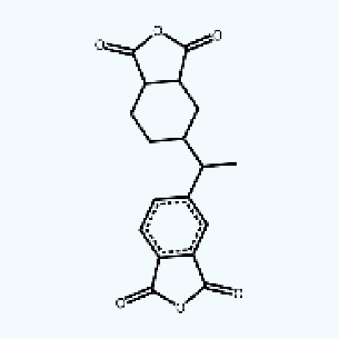 CC(c1ccc2c(c1)C(=O)OC2=O)C1CCC2C(=O)OC(=O)C2C1